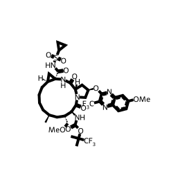 COC[C@@H]1C[C@@H](C)CCCC[C@H]2C[C@@]2(C(=O)NS(=O)(=O)C2CC2)NC(=O)[C@@H]2C[C@@H](Oc3nc4cc(OC)ccc4nc3C(F)(F)F)CN2C(=O)[C@H]1NC(=O)OC(C)(C)C(F)(F)F